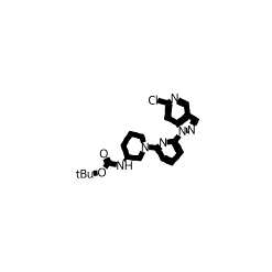 CC(C)(C)OC(=O)N[C@H]1CCCN(c2cccc(-n3ncc4cnc(Cl)cc43)n2)C1